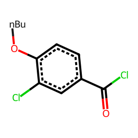 CCCCOc1ccc(C(=O)Cl)cc1Cl